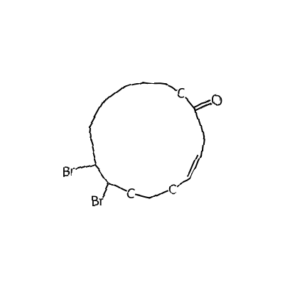 O=C1CC=CCCCC(Br)C(Br)CCCCCCC1